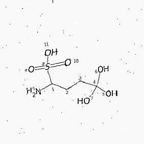 NC(CCC(O)(O)O)S(=O)(=O)O